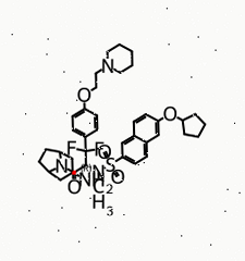 CN([C@H](C(=O)N1C2CCC1CC(N)C2)C(F)(F)c1ccc(OCCN2CCCCC2)cc1)S(=O)(=O)c1ccc2cc(OC3CCCC3)ccc2c1